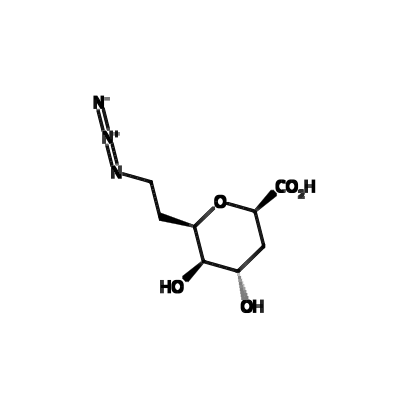 [N-]=[N+]=NCC[C@H]1O[C@@H](C(=O)O)C[C@H](O)[C@H]1O